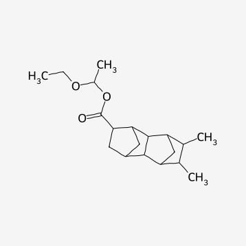 CCOC(C)OC(=O)C1CC2CC1C1C3CC(C(C)C3C)C21